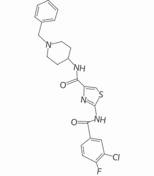 O=C(Nc1nc(C(=O)NC2CCN(Cc3ccccc3)CC2)cs1)c1ccc(F)c(Cl)c1